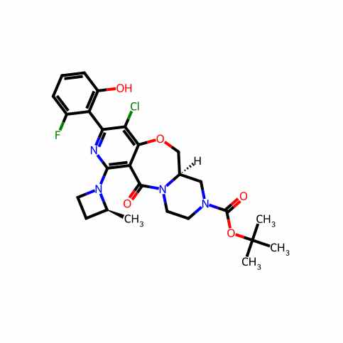 C[C@H]1CCN1c1nc(-c2c(O)cccc2F)c(Cl)c2c1C(=O)N1CCN(C(=O)OC(C)(C)C)C[C@@H]1CO2